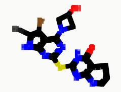 CCc1[nH]c2nc(Sc3nc4ncccc4c(=O)[nH]3)nc(N3CC(O)C3)c2c1Br